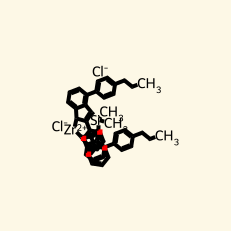 CCCc1ccc(-c2cccc3c2C2=C(c4ccccc4)[CH]3[Zr+2][CH]3C(c4ccccc4)=C(c4c(-c5ccc(CCC)cc5)cccc43)[Si]2(C)C)cc1.[Cl-].[Cl-]